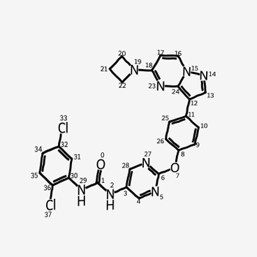 O=C(Nc1cnc(Oc2ccc(-c3cnn4ccc(N5CCC5)nc34)cc2)nc1)Nc1cc(Cl)ccc1Cl